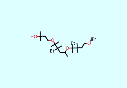 CCC(C)(CC(C)OC(C)(CC)C(C)(C)CCOC(C)C)C(C)(C)OCCC(C)(C)O